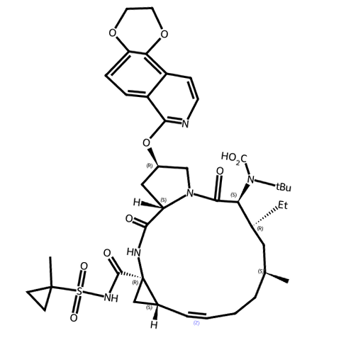 CC[C@@H]1C[C@@H](C)CC/C=C\[C@@H]2C[C@@]2(C(=O)NS(=O)(=O)C2(C)CC2)NC(=O)[C@@H]2C[C@@H](Oc3nccc4c5c(ccc34)OCCO5)CN2C(=O)[C@H]1N(C(=O)O)C(C)(C)C